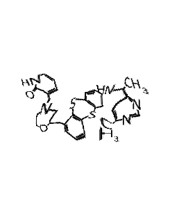 Cc1cc(C(C)Nc2ccc3c(c2)Sc2cccc(C4CN(c5ccc[nH]c5=O)CCO4)c2S3)ncn1